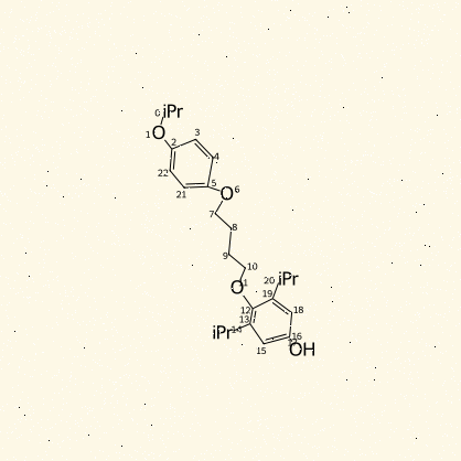 CC(C)Oc1ccc(OCCCCOc2c(C(C)C)cc(O)cc2C(C)C)cc1